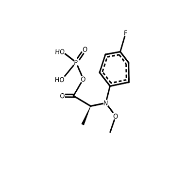 CON(c1ccc(F)cc1)[C@@H](C)C(=O)OP(=O)(O)O